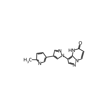 Cc1ccc(-c2cnn(-c3cnn4ccc(=O)[nH]c34)c2)cn1